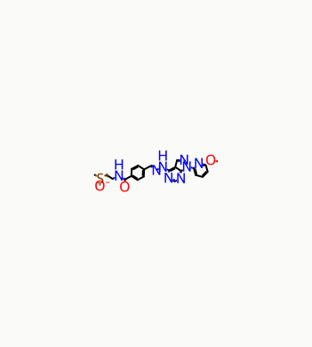 COc1cccc(-n2ncc3c(N/N=C/c4ccc(C(=O)NCC[S+](C)[O-])cc4)ncnc32)n1